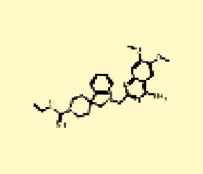 CCNC(=N)N1CCC(CNCc2nc(N)c3cc(OC)c(OC)cc3n2)(c2ccccc2)CC1